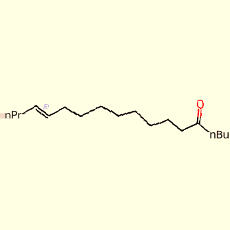 CCC/C=C/CCCCCCCCC(=O)CCCC